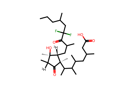 [2H]C1(C)C(=O)[C@](C)(C(C)C(C)C(C)CC(C)CC(=O)O)[C@@]([2H])(CC(C)C(=O)C(F)(F)CC(C)CCC)[C@]1(C)O